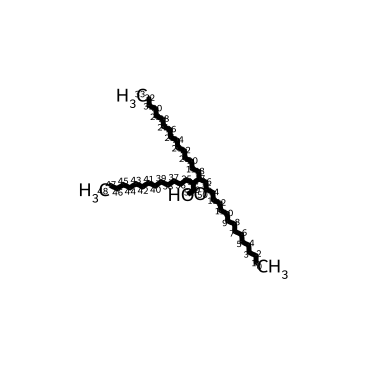 CCCCCCCCCCCCCCCCCC(CCCCCCCCCCCCCCCC)C(CCCCCCCCCCCCCC)C(=O)O